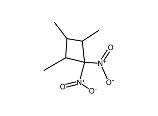 CC1C(C)C([N+](=O)[O-])([N+](=O)[O-])C1C